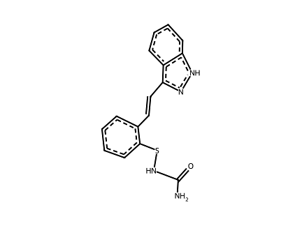 NC(=O)NSc1ccccc1C=Cc1n[nH]c2ccccc12